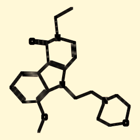 CCn1ccc2c(c1=O)c1cccc(OC)c1n2CCN1CCOCC1